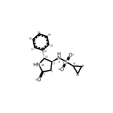 O=C1C[C@H](NS(=O)(=O)C2CC2)[C@@H](c2ccccc2)N1